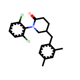 Cc1ccc(CC2CCC(=O)N(c3c(Cl)cccc3Cl)C2)c(C)c1